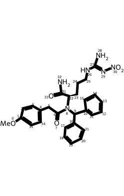 COc1ccc(CC(=O)N(C(c2ccccc2)c2ccccc2)[C@H](CCCNC(N)=N[N+](=O)[O-])C(N)=O)cc1